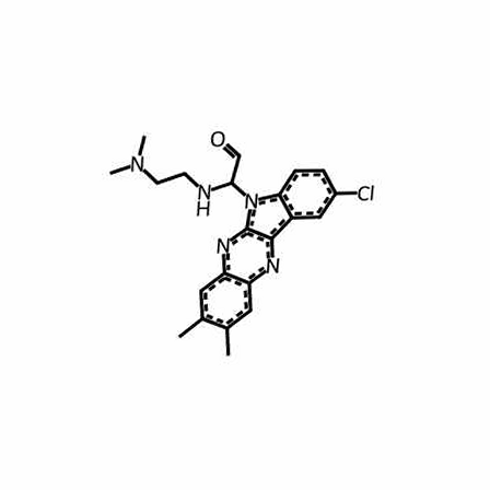 Cc1cc2nc3c4cc(Cl)ccc4n(C(C=O)NCCN(C)C)c3nc2cc1C